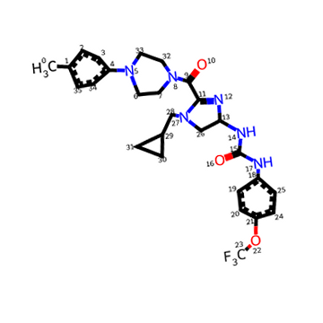 Cc1ccc(N2CCN(C(=O)C3=NC(NC(=O)Nc4ccc(OC(F)(F)F)cc4)CN3CC3CC3)CC2)cc1